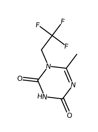 Cc1nc(=O)[nH]c(=O)n1CC(F)(F)F